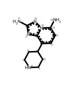 Nc1nc2c(C3CCNCC3)ccc(N)n2n1